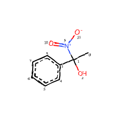 CC(O)(c1ccccc1)[N+](=O)[O-]